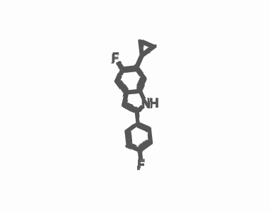 Fc1ccc(-c2cc3cc(F)c(C4CC4)cc3[nH]2)cc1